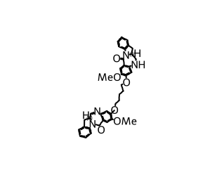 COc1cc2c(cc1OCCCCCOc1cc3c(cc1OC)C(=O)N1c4ccccc4C[C@H]1CN3)N=C[C@@H]1Cc3ccccc3N1C2=O